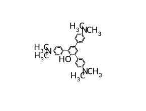 CN(C)c1ccc(-c2cc(-c3ccc(N(C)C)cc3)c(O)c(-c3ccc(N(C)C)cc3)c2)cc1